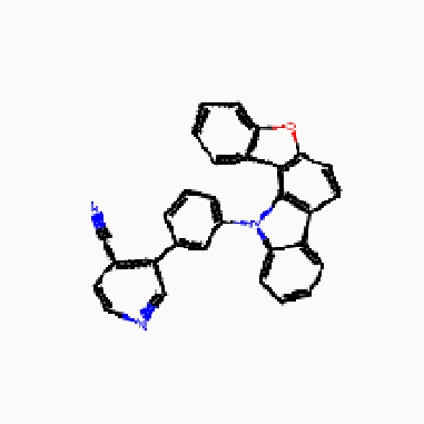 N#Cc1ccncc1-c1cccc(-n2c3ccccc3c3ccc4oc5ccccc5c4c32)c1